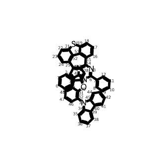 c1ccc(-c2nc(-c3ccccc3)nc(-c3cccc4sc5cccc(-c6ccc7oc8c(-n9c%10ccccc%10c%10ccccc%109)cccc8c7c6)c5c34)n2)cc1